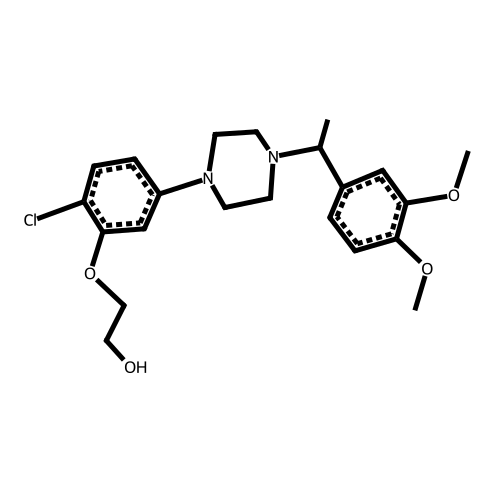 COc1ccc(C(C)N2CCN(c3ccc(Cl)c(OCCO)c3)CC2)cc1OC